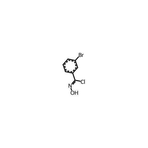 O/N=C(\Cl)c1cccc(Br)c1